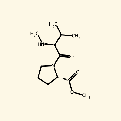 CN[C@H](C(=O)N1CCC[C@H]1C(=O)OC)C(C)C